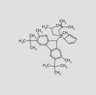 [CH2]=[Zr]([CH2]C(C)C)([CH2]C(C)C)([CH]1C=CC=C1)[CH]1c2cc(C)c(C(C)(C)C)cc2-c2cc(C(C)(C)C)c(C)cc21